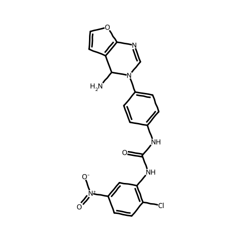 NC1c2ccoc2N=CN1c1ccc(NC(=O)Nc2cc([N+](=O)[O-])ccc2Cl)cc1